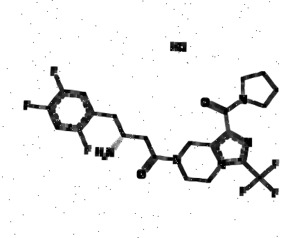 Cl.N[C@@H](CC(=O)N1CCn2c(C(F)(F)F)nc(C(=O)N3CCCC3)c2C1)Cc1cc(F)c(F)cc1F